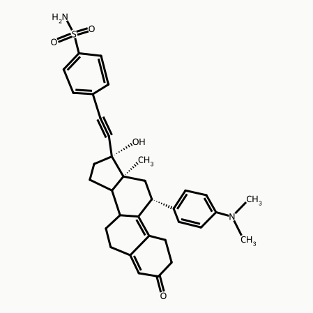 CN(C)c1ccc([C@H]2C[C@@]3(C)C(CC[C@@]3(O)C#Cc3ccc(S(N)(=O)=O)cc3)C3CCC4=CC(=O)CCC4=C32)cc1